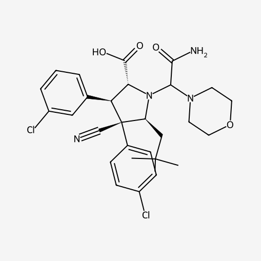 CC(C)(C)C[C@@H]1N(C(C(N)=O)N2CCOCC2)[C@@H](C(=O)O)[C@H](c2cccc(Cl)c2)[C@@]1(C#N)c1ccc(Cl)cc1